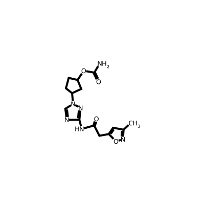 Cc1cc(CC(=O)Nc2ncn(C3CCC(OC(N)=O)C3)n2)on1